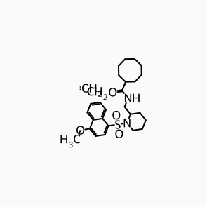 COc1ccc(S(=O)(=O)N2CCCCC2CNC(=O)[C]2CCCCCCC2)c2ccccc12.[CH2].[CH2]